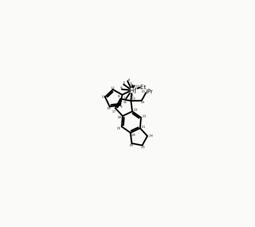 C[CH2][Hf]([CH3])([CH3])([CH3])([CH3])([CH3])([CH3])([CH]1C=CC=C1)[C]1(CC(C)C)C=Cc2cc3c(cc21)CCC3